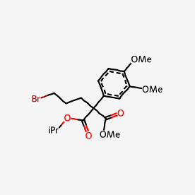 COC(=O)C(CCCBr)(C(=O)OC(C)C)c1ccc(OC)c(OC)c1